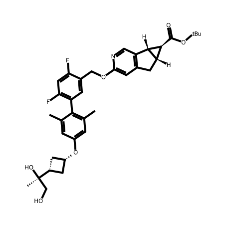 Cc1cc(O[C@H]2C[C@@H]([C@](C)(O)CO)C2)cc(C)c1-c1cc(COc2cc3c(cn2)[C@H]2[C@@H](C3)[C@@H]2C(=O)OC(C)(C)C)c(F)cc1F